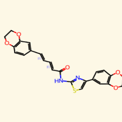 O=C(/C=C/C=C/c1ccc2c(c1)OCCO2)Nc1nc(-c2ccc3c(c2)OCCO3)cs1